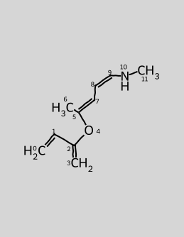 C=CC(=C)O/C(C)=C/C=C\NC